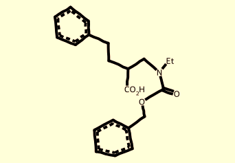 CCN(CC(CCc1ccccc1)C(=O)O)C(=O)OCc1ccccc1